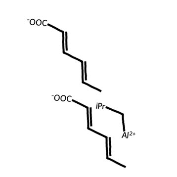 CC(C)[CH2][Al+2].CC=CC=CC(=O)[O-].CC=CC=CC(=O)[O-]